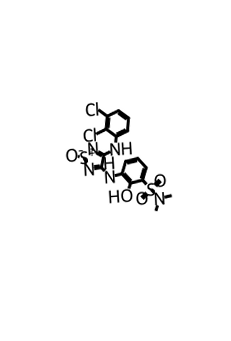 CN(C)S(=O)(=O)c1cccc(Nc2n[s+]([O-])nc2Nc2cccc(Cl)c2Cl)c1O